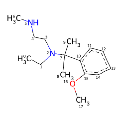 CCN(CCNC)C(C)(C)c1ccccc1OC